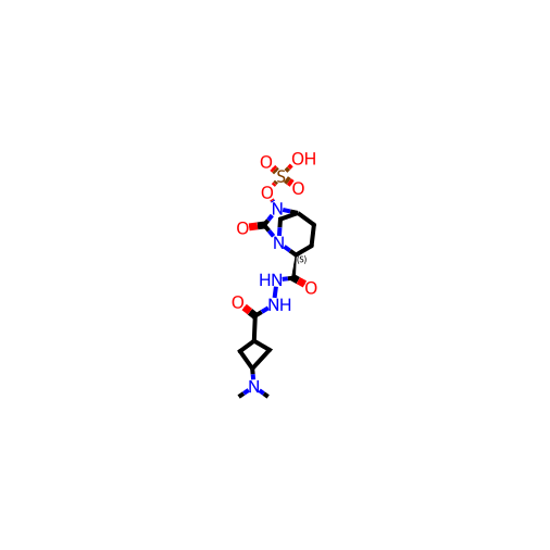 CN(C)C1CC(C(=O)NNC(=O)[C@@H]2CCC3CN2C(=O)N3OS(=O)(=O)O)C1